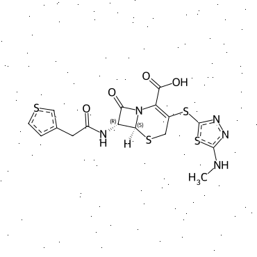 CNc1nnc(SC2=C(C(=O)O)N3C(=O)[C@@H](NC(=O)Cc4ccsc4)[C@@H]3SC2)s1